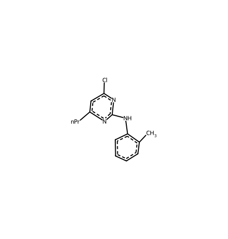 CCCc1cc(Cl)nc(Nc2ccccc2C)n1